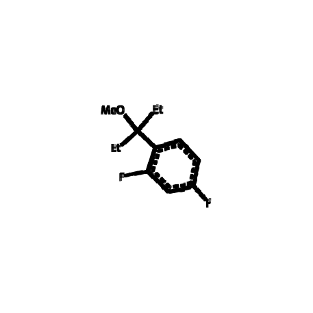 CCC(CC)(OC)c1ccc(F)cc1F